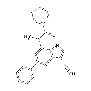 C#Cc1cnn2c(N(C)C(=O)c3cccnc3)cc(-c3ccccc3)nc12